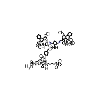 NC(=O)NCCC[C@H](NC(=O)C1(C(=O)NCCCCCN2C(=O)CCC2=O)CCC1)C(=O)Nc1ccc(COC(=O)Nc2cc(/C=C/C(=O)N3C[C@@H](CCl)c4c3cc(OP(=O)(O)O)c3ccccc43)ccc2/C=C/C(=O)N2C[C@@H](CCl)c3c2cc(OP(=O)(O)O)c2ccccc32)cc1